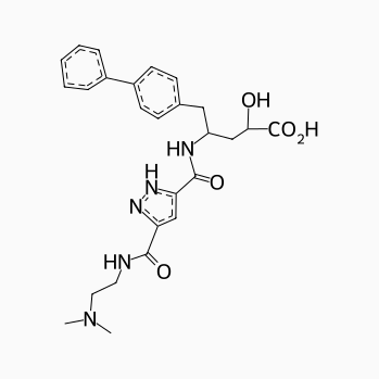 CN(C)CCNC(=O)c1cc(C(=O)NC(Cc2ccc(-c3ccccc3)cc2)CC(O)C(=O)O)[nH]n1